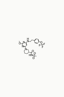 COc1nc(NCCc2ccc(OC(F)(F)F)cc2)cc(N2CCCC(C(=O)NS(C)(=O)=O)C2)n1